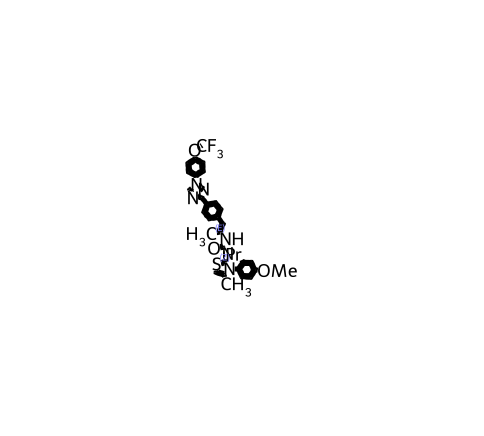 COc1ccc(-n2c(C)cs/c2=N\C(=O)N/C(C)=C/c2ccc(-c3ncn(-c4ccc(OC(F)(F)F)cc4)n3)cc2)c(C(C)C)c1